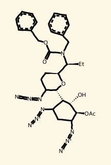 CC[C@@H]([C@@H]1CCC(N=[N+]=[N-])[C@@H](C2C(N=[N+]=[N-])CC(N=[N+]=[N-])[C@H](OC(C)=O)[C@H]2O)O1)N(Cc1ccccc1)C(=O)OCc1ccccc1